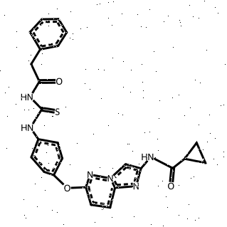 O=C(Cc1ccccc1)NC(=S)Nc1ccc(Oc2ccc3nc(NC(=O)C4CC4)cn3n2)cc1